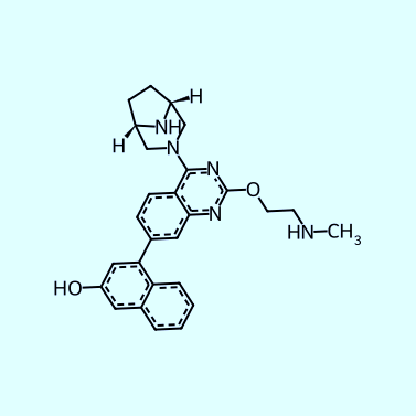 CNCCOc1nc(N2C[C@H]3CC[C@@H](C2)N3)c2ccc(-c3cc(O)cc4ccccc34)cc2n1